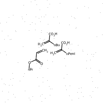 C=C(CCCC)C(=O)O.C=C(CCCCC)C(=O)O.C=CC(=O)OCCC